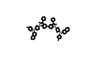 Cc1ccc(N(c2ccc(-n3c(C)c(-c4ccccc4)c4cc(-c5ccc6c(c5)c(-c5ccccc5)c(C)n6-c5ccc(N(c6ccc(C)cc6)c6ccc7ccccc7c6)cc5)ccc43)cc2)c2ccc3ccccc3c2)cc1